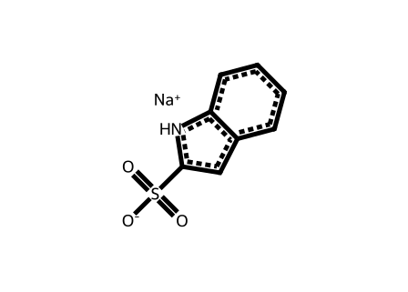 O=S(=O)([O-])c1cc2ccccc2[nH]1.[Na+]